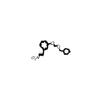 O=[N+]([O-])/C=C/c1cccc(OCOCc2ccccc2)c1